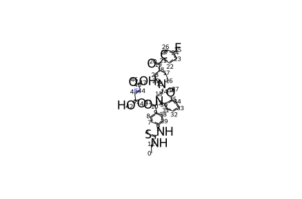 CCNC(=S)Nc1ccc(C(=O)N(CCN2CCC(C(=O)c3ccc(F)cc3)CC2)c2ccccc2OC)cc1.O=C(O)/C=C/C(=O)O